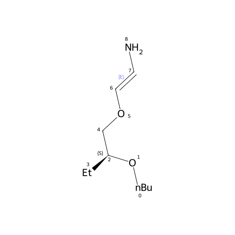 CCCCO[C@@H](CC)CO/C=C/N